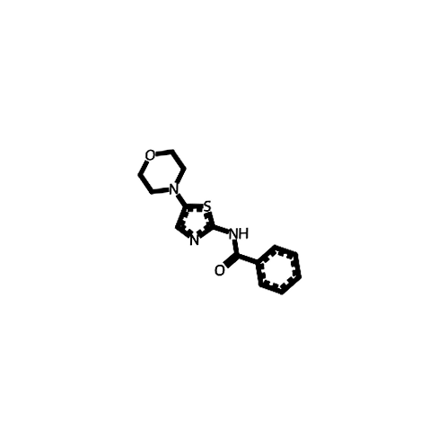 O=C(Nc1ncc(N2CCOCC2)s1)c1ccccc1